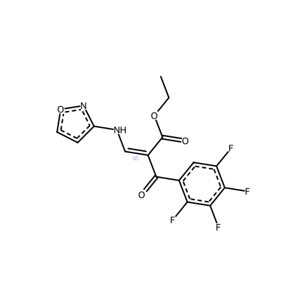 CCOC(=O)/C(=C\Nc1ccon1)C(=O)c1cc(F)c(F)c(F)c1F